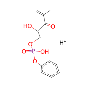 C=C(C)C(=O)C(O)COP(=O)(O)Oc1ccccc1.[H+]